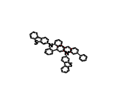 c1ccc(-c2cccc(N(c3cccc(-c4ccccc4N(c4cccc(-c5ccccc5)c4)c4ccc5c(c4)sc4ccccc45)c3)c3ccc4c(c3)sc3ccccc34)c2)cc1